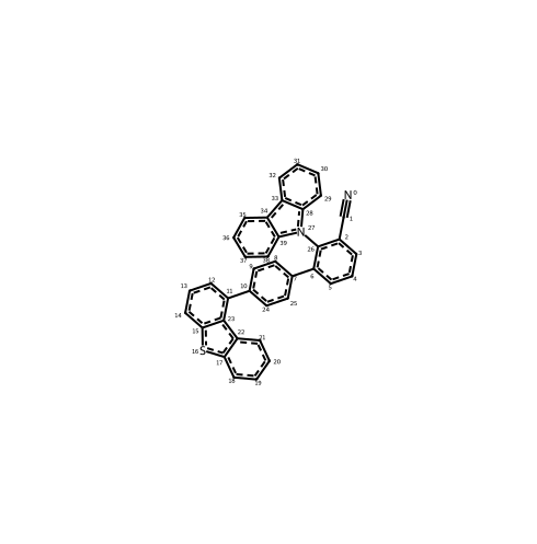 N#Cc1cccc(-c2ccc(-c3cccc4sc5ccccc5c34)cc2)c1-n1c2ccccc2c2ccccc21